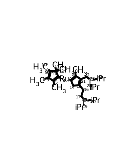 CC1=[C]([Ru][C]2=C(C)C(C)=C(C)C2(C)C)CC(CCP(C(C)C)C(C)C)=C1CP(C(C)C)C(C)C